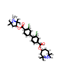 CCCN1C(C)(C)CC(OC(=O)c2ccc(-c3ccc(C(=O)OC4CCC(C)(C)NC(C)(C)C4)cc3F)cc2F)C1(C)C